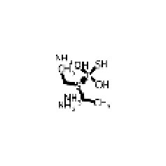 CCS(CC)=P(O)(O)S.N.N.N